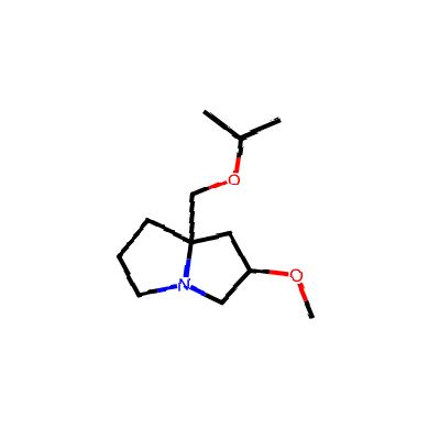 COC1CN2CCCC2(COC(C)C)C1